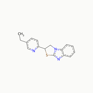 CCc1ccc(C2Cn3c(nc4ccccc43)S2)nc1